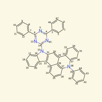 c1ccc(-c2nc(-c3ccccc3)nc(-n3c4ccccc4c4c5cccc6c5c(cc43)-c3ccccc3N6c3ccccc3)n2)cc1